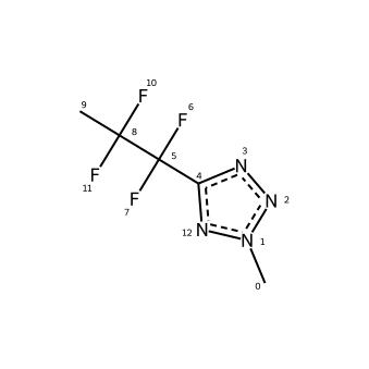 Cn1nnc(C(F)(F)C(C)(F)F)n1